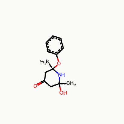 BC1(O)CC(=O)CC(B)(Oc2ccccc2)N1